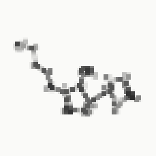 Cn1c(SCCCCl)nnc1-c1ccno1